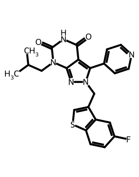 CC(C)Cn1c(=O)[nH]c(=O)c2c(-c3ccncc3)n(Cc3csc4ccc(F)cc34)nc21